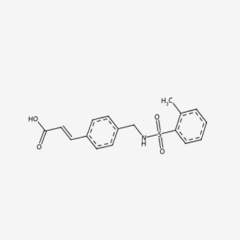 Cc1ccccc1S(=O)(=O)NCc1ccc(/C=C/C(=O)O)cc1